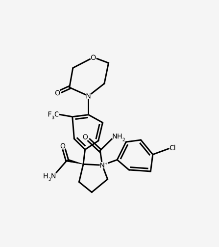 NC(=O)[C@]1(c2ccc(N3CCOCC3=O)c(C(F)(F)F)c2)CCC[N+]1(C(N)=O)c1ccc(Cl)cc1